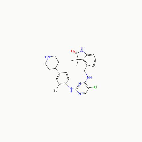 CCc1cc(C2CCNCC2)ccc1Nc1ncc(Cl)c(NCc2cccc3c2C(C)(C)C(=O)N3)n1